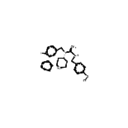 C=C(NCc1ccc(OC(C)C)cc1)N(Cc1ccc(F)cc1)[C@@H]1CCN[C@H](c2ccccc2)C1